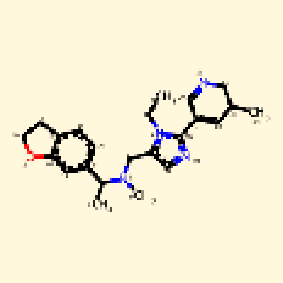 CCn1c(CN(C)C(C)c2ccc3c(c2)OCC3)cnc1C1=CC(C)CN=C1